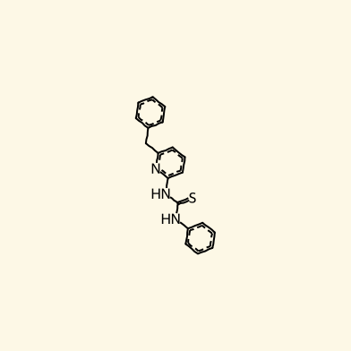 S=C(Nc1ccccc1)Nc1cccc(Cc2ccccc2)n1